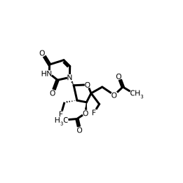 CC(=O)OCC1(CF)O[C@@H](n2ccc(=O)[nH]c2=O)[C@@H](CF)[C@@H]1OC(C)=O